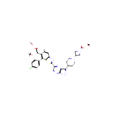 CCOC(=O)[C@@H](OC(C)(C)C)c1c(C)cc2nc(-c3cnc4c(n3)c(C3CCN(C5CN(C(=O)OC(C)(C)C)C5)CC3)nn4C)sc2c1-c1ccc(Cl)cc1